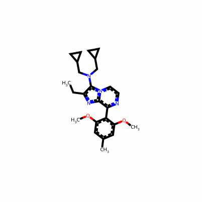 CCc1nc2c(-c3c(OC)cc(C)cc3OC)nccn2c1N(CC1CC1)CC1CC1